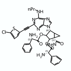 CCCNc1nc(C#Cc2ccc(Cl)s2)nc2c1ncn2[C@H]1C(OC(=O)[C@@H](N)c2ccccc2)C(OC(=O)[C@@H](N)c2ccccc2)[C@]2(C(=O)NC)CC12